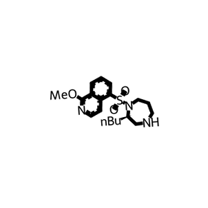 CCCC[C@@H]1CNCCCN1S(=O)(=O)c1cccc2c(OC)nccc12